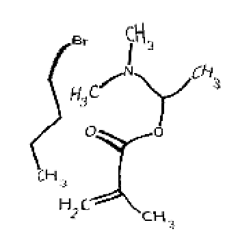 C=C(C)C(=O)OC(C)N(C)C.CCCCBr